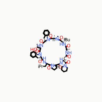 CC[C@H](C)[C@@H]1NC(=O)[C@H](C)NC(=O)C[C@@H](C(=O)N2CCCCC2)NC(=O)[C@@H]2CCCN2C(=O)C(CC(C)C)NC(=O)[C@H](Cc2ccccc2)N(C)C(=O)[C@H]([C@@H](C)O)NC(=O)[C@H](Cc2ccccc2)N(C)C(=O)[C@H](C)N(C)C1=O